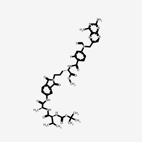 COC(=O)[C@H](CCCN1C(=O)c2ccc(NC(=O)[C@H](C)NC(=O)[C@@H](NC(=O)OC(C)(C)C)C(C)C)cc2C1=O)NC(=O)c1ccc(N(C=O)Cc2cnc3nc(N)nc(N)c3n2)cc1F